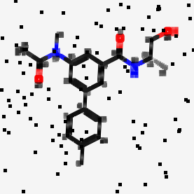 Cc1ccc(-c2cc(C(=O)N[C@@H](C)CO)cc(N(C)C(=O)C(C)C)c2)cc1